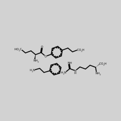 N=C(N)NCCC[C@@H](N)C(=O)O.NCCc1ccccc1.N[C@@H](CCC(=O)O)C(=O)Oc1ccc(CCC(=O)O)cc1